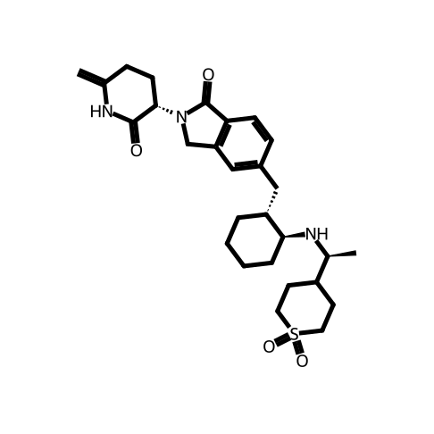 C=C1CC[C@H](N2Cc3cc(C[C@H]4CCCC[C@@H]4N[C@@H](C)C4CCS(=O)(=O)CC4)ccc3C2=O)C(=O)N1